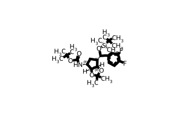 CC(C)(C)OC(=O)N[C@@H]1C[C@H](C(O[Si](C)(C)C(C)(C)C)c2ccc(F)c(F)c2)[C@H]2OC(C)(C)O[C@H]21